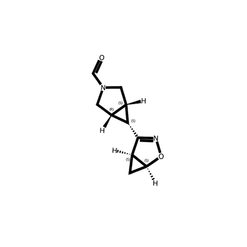 O=CN1C[C@@H]2[C@H](C1)[C@@H]2C1=NO[C@H]2C[C@@H]12